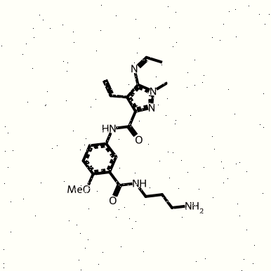 C=Cc1c(C(=O)Nc2ccc(OC)c(C(=O)NCCCN)c2)nn(C)c1/N=C\C